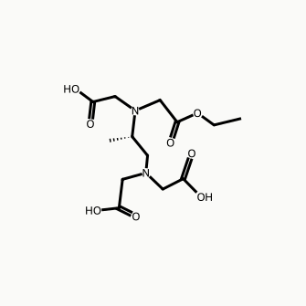 CCOC(=O)CN(CC(=O)O)[C@@H](C)CN(CC(=O)O)CC(=O)O